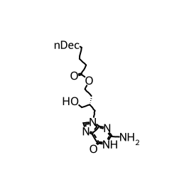 CCCCCCCCCCCCCC(=O)OCC[C@@H](CO)Cn1cnc2c(=O)[nH]c(N)nc21